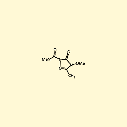 CNC(=O)n1nc(C)n(OC)c1=O